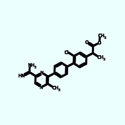 COC(=O)C(C)c1ccc(-c2ccc(-c3nc(C(=N)N)cnc3C)cc2)c(Cl)c1